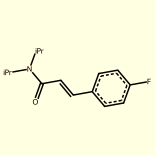 CC(C)N(C(=O)C=Cc1ccc(F)cc1)C(C)C